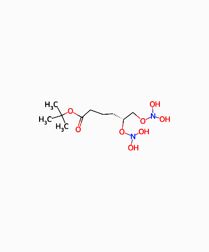 CC(C)(C)OC(=O)CCC[C@H](CON(O)O)ON(O)O